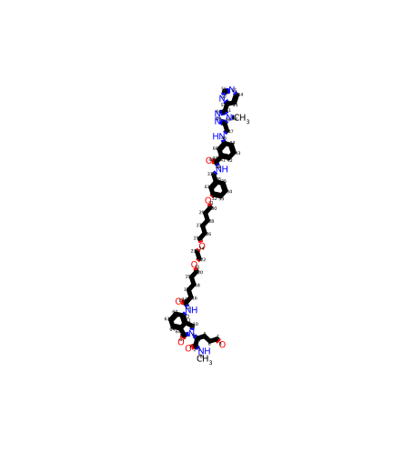 CNC(=O)C(CCC=O)N1Cc2c(NC(=O)CCCCCOCCOCCCCCCOc3cccc(CNC(=O)c4cccc(NCc5nnc(-c6ccncn6)n5C)c4)c3)cccc2C1=O